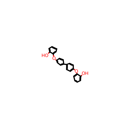 Oc1ccccc1Oc1ccc(-c2ccc(Oc3ccccc3O)cc2)cc1